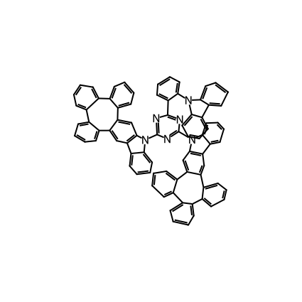 c1ccc2c(c1)-c1ccccc1-c1cc3c4ccccc4n(-c4nc(-c5ccccc5-n5c6ccccc6c6ccccc65)nc(-n5c6ccccc6c6cc7c(cc65)-c5ccccc5-c5ccccc5-c5ccccc5-7)n4)c3cc1-c1ccccc1-2